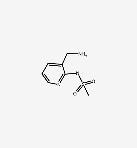 CS(=O)(=O)Nc1ncccc1CN